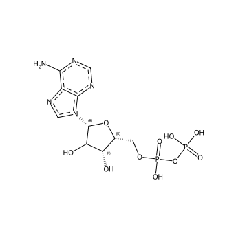 Nc1ncnc2c1ncn2[C@@H]1O[C@H](COP(=O)(O)OP(=O)(O)O)[C@H](O)C1O